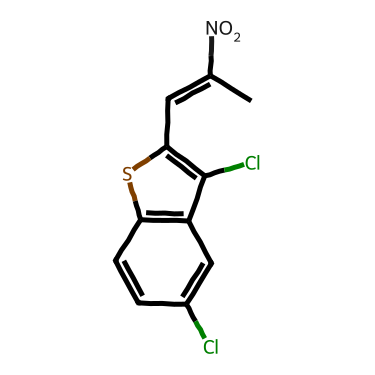 CC(=Cc1sc2ccc(Cl)cc2c1Cl)[N+](=O)[O-]